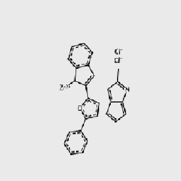 CC1=NC2=CC=CC2=C1.[Cl-].[Cl-].[Zr+2][CH]1C(c2ccc(-c3ccccc3)o2)=Cc2ccccc21